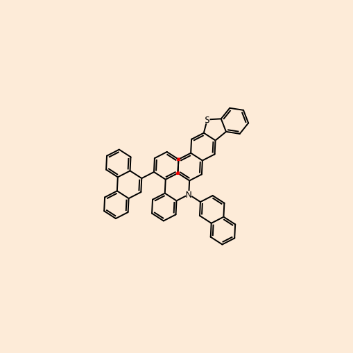 c1ccc(-c2cc3ccccc3c3ccccc23)c(-c2ccccc2N(c2ccc3ccccc3c2)c2ccc3cc4sc5ccccc5c4cc3c2)c1